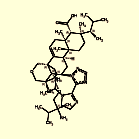 CC(C)[C@@H](C)[C@@]1(C)CC[C@]2(C)[C@H]3CC[C@@H]4[C@@]5(COC[C@@]4(C)[C@@H](OC[C@](C)(N)C(C)C)[C@H](n4ncnc4C4=NCCN4C(C)C)C5)C3=CC[C@@]2(C)[C@@H]1C(=O)O